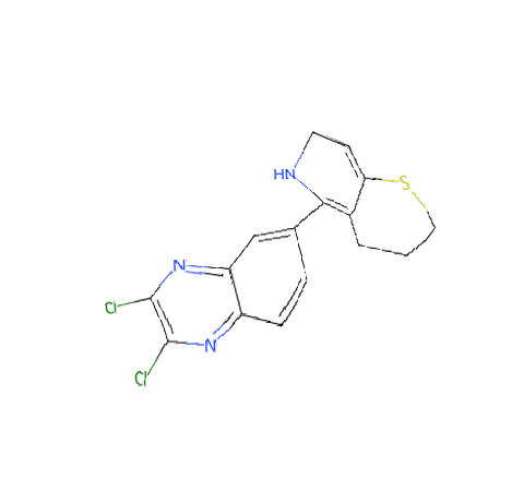 Clc1nc2ccc(C3=C4CCCSC4=CCN3)cc2nc1Cl